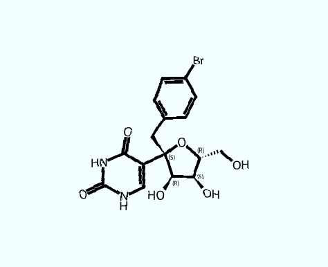 O=c1[nH]cc([C@]2(Cc3ccc(Br)cc3)O[C@H](CO)[C@@H](O)[C@H]2O)c(=O)[nH]1